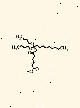 CCCCCCCCCC(OCCCC)(OCCCC)OC(=O)CCCCC(=O)O